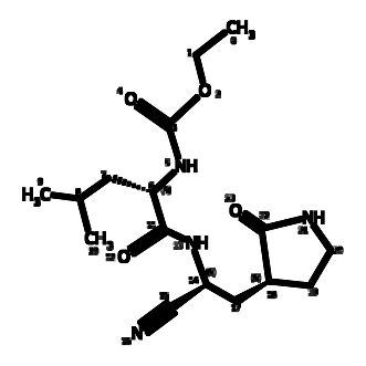 CCOC(=O)N[C@@H](CC(C)C)C(=O)N[C@H](C#N)C[C@@H]1CCNC1=O